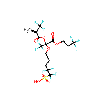 C=C(C(=O)OC(OCCCC(F)(F)C(F)(F)S(=O)(=O)O)(C(=O)OCCC(F)(F)F)C(F)(F)F)C(F)(F)F